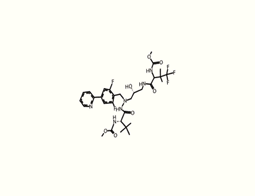 COC(=O)NC(C(=O)NC[C@@H](O)CN(Cc1c(F)cc(-c2ccccn2)cc1F)NC(=O)[C@@H](NC(=O)OC)C(C)(C)C)C(C)(C)C(F)(F)F